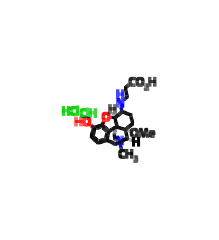 CO[C@@]12CC[C@H](NCCC(=O)O)[C@@H]3Oc4c(O)ccc5c4[C@@]31CCN(C)[C@@H]2C5.Cl.Cl